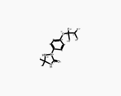 CC1(C)NC(=O)N(c2ccc(OC(F)(F)C(F)F)cc2)N1